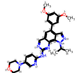 COc1cc(OC)cc(-c2cc3cnc(Nc4ccc(N5CCOCC5)cn4)nc3c3c2cnn3C(C)C)c1